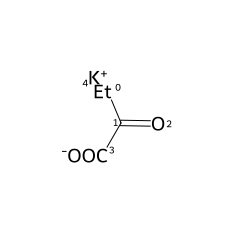 CCC(=O)C(=O)[O-].[K+]